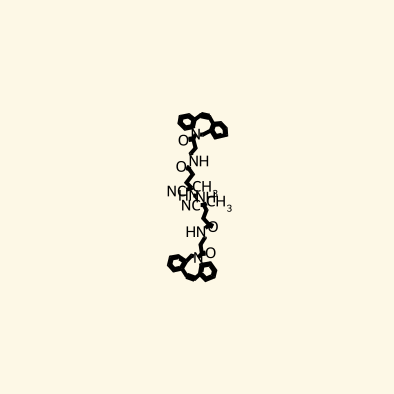 CC(C#N)(CCC(=O)NCCC(=O)N1Cc2ccccc2C#Cc2ccccc21)NNC(C)(C#N)CCC(=O)NCCC(=O)N1Cc2ccccc2C#Cc2ccccc21